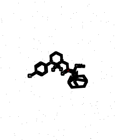 COC(=O)C12CC3CC(C1)C(NC(=O)CN1CCCN(c4ccc(Cl)cc4)S1(=O)=O)C(C3)C2